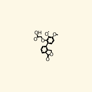 COc1ccc(-c2cccc3c2COC3=O)c(OCC(=O)O)c1OC